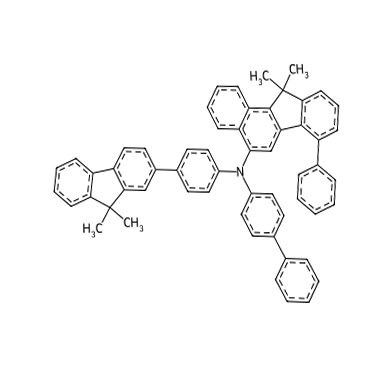 CC1(C)c2ccccc2-c2ccc(-c3ccc(N(c4ccc(-c5ccccc5)cc4)c4cc5c(c6ccccc46)C(C)(C)c4cccc(-c6ccccc6)c4-5)cc3)cc21